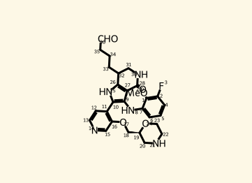 COc1c(F)cccc1Nc1c(-c2ccncc2OC[C@@H]2CNCCO2)[nH]c2c1C(=O)NCC2CCCC=O